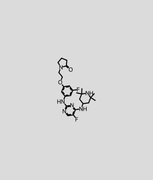 CC1(C)CC(Nc2nc(Nc3cc(F)cc(OCCN4CCCC4=O)c3)ncc2F)CC(C)(C)N1